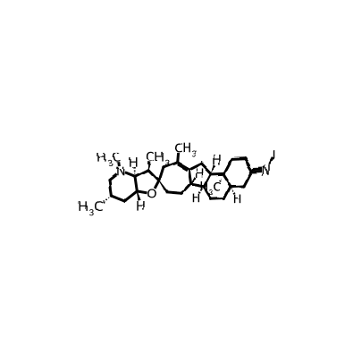 CC1=C2C[C@H]3[C@@H](CC[C@@H]4C/C(=N/I)CC[C@@]43C)[C@@H]2CC[C@@]2(C1)O[C@@H]1C[C@H](C)CN(C)[C@H]1[C@H]2C